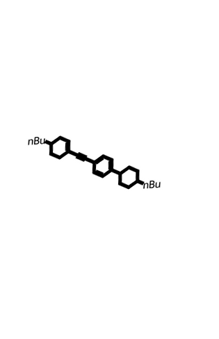 CCCCC1CC=C(C#Cc2ccc(C3CCC(CCCC)CC3)cc2)CC1